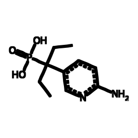 CCC(CC)(c1ccc(N)nc1)P(=O)(O)O